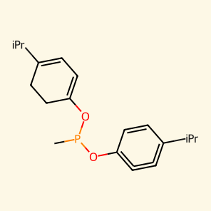 CC(C)C1=C=C=C(OP(C)OC2=CC=C(C(C)C)CC2)C=C1